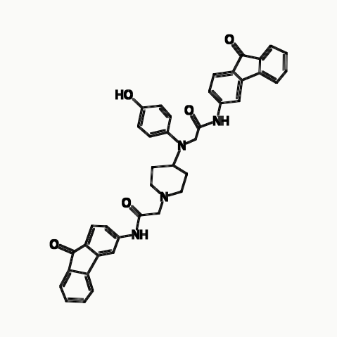 O=C(CN1CCC(N(CC(=O)Nc2ccc3c(c2)-c2ccccc2C3=O)c2ccc(O)cc2)CC1)Nc1ccc2c(c1)-c1ccccc1C2=O